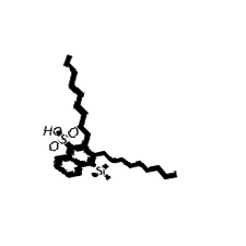 CCCCCCCCCc1c(CCCCCCCCC)c(S(=O)(=O)O)c2ccccc2c1[Si](C)(C)C